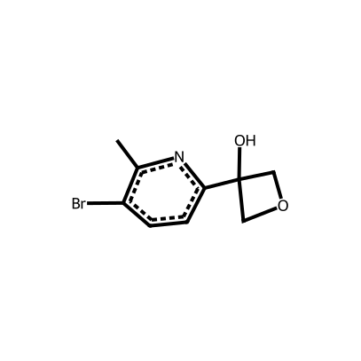 Cc1nc(C2(O)COC2)ccc1Br